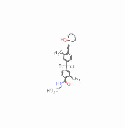 CCC(CC)(c1ccc(C#CC2(O)CCCCC2)c(C)c1)c1ccc(C(=O)NCC(=O)O)c(C)c1